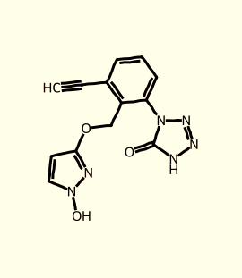 C#Cc1cccc(-n2nn[nH]c2=O)c1COc1ccn(O)n1